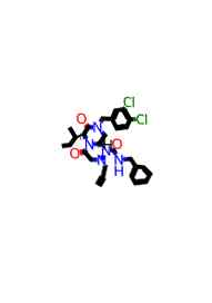 C#CCN1CC(=O)N2[C@@H](C(C)CC)C(=O)N(Cc3ccc(Cl)c(Cl)c3)C[C@@H]2N1C(=O)NCc1ccccc1